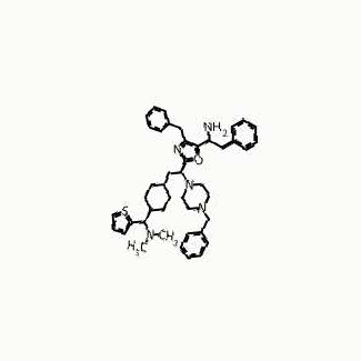 CN(C)C(c1cccs1)C1CCC(CC(c2nc(Cc3ccccc3)c(C(N)Cc3ccccc3)o2)N2CCN(Cc3ccccc3)CC2)CC1